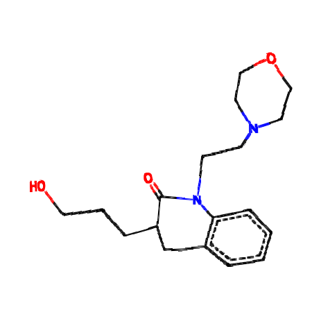 O=C1C(CCCO)Cc2ccccc2N1CCN1CCOCC1